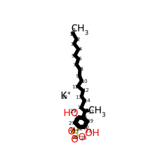 CCCCCCCCCCCCCCCCC(C)c1cc(O)c(S(=O)(=O)[O-])cc1O.[K+]